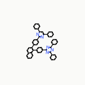 c1ccc(-c2cc(-c3ccccc3)nc(-c3ccc(-c4ccc5ccccc5c4-c4ccc(-c5nc(-c6ccccc6)nc(-c6ccccc6)n5)cc4)cc3)n2)cc1